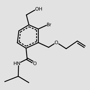 C=CCOCc1c(C(=O)NC(C)C)ccc(CO)c1Br